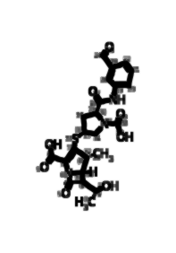 C[C@@H](O)[C@H]1C(=O)N2C(C(=O)O)=C(S[C@H]3C[C@@H](C(=O)Nc4cccc(C=O)c4)N(C(=O)O)C3)[C@H](C)[C@H]12